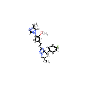 COc1cc(C=Cc2nc3n(n2)CC(C)CC3c2ccc(F)cc2)ccc1-n1cnc(C)c1